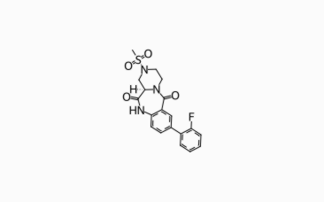 CS(=O)(=O)N1CCN2C(=O)c3cc(-c4ccccc4F)ccc3NC(=O)[C@H]2C1